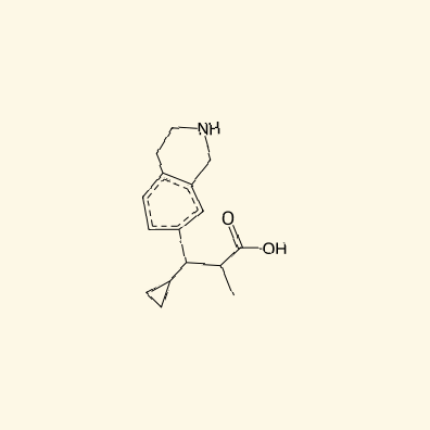 CC(C(=O)O)C(c1ccc2c(c1)CNCC2)C1CC1